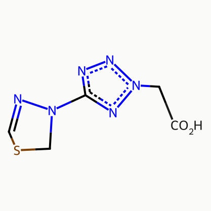 O=C(O)Cn1nnc(N2CSC=N2)n1